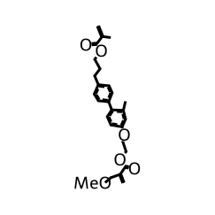 C=C(C)C(=O)OCCCc1ccc(-c2ccc(OCCOC(=O)C(=C)COC)cc2C)cc1